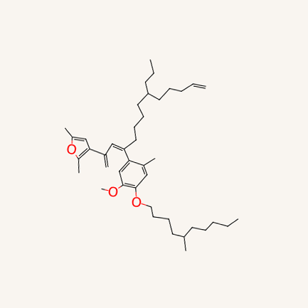 C=CCCCC(CCC)CCCC/C(=C/C(=C)c1cc(C)oc1C)c1cc(OC)c(OCCCCC(C)CCCCC)cc1C